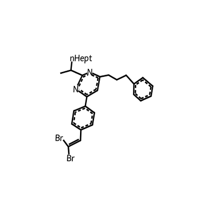 CCCCCCCC(C)c1nc(CCCc2ccccc2)cc(-c2ccc(C=C(Br)Br)cc2)n1